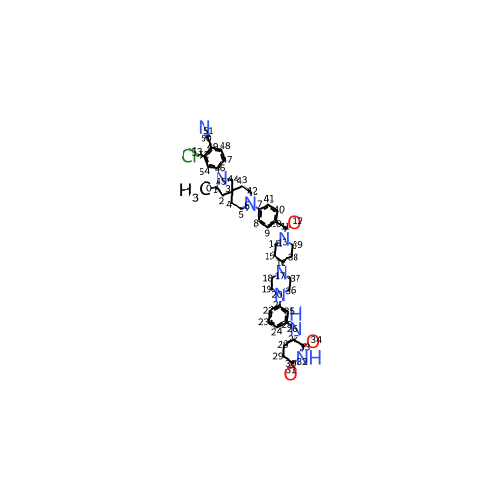 C[C@@H]1CC2(CCN(c3ccc(C(=O)N4CCC(N5CCN(c6cccc(N[C@H]7CCC(=O)NC7=O)c6)CC5)CC4)cc3)CC2)CN1c1ccc(C#N)c(Cl)c1